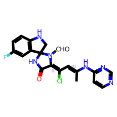 C/C(=C\C(Cl)=C1\C(=O)NC2(CNc3ccc(F)cc32)N1C=O)Nc1ccncn1